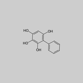 Oc1cc(O)c(-c2ccccc2)c(O)c1O